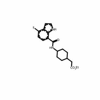 CCOC(=O)CC1CCC(NC(=O)c2ccc(F)c3cc[nH]c23)CC1